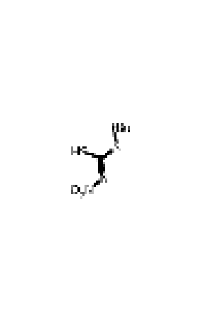 CC(C)(C)SC(S)=N[N+](=O)[O-]